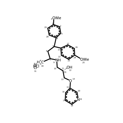 COc1ccc(C(CC(C)NC[C@H](O)COc2cccnc2)c2ccc(OC)cc2)cc1.Cl.Cl